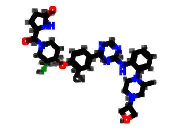 CC1CN(C2COC2)CCN1c1ccccc1Nc1ncnc(-c2ccc(O[C@H]3CCN(C(=O)C4CCC(=O)N4)C[C@H]3F)c(C#N)c2)n1